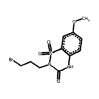 COc1ccc2c(c1)S(=O)(=O)N(CCCBr)C(=O)N2